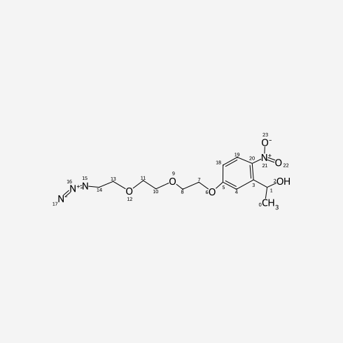 CC(O)c1cc(OCCOCCOCCN=[N+]=[N-])ccc1[N+](=O)[O-]